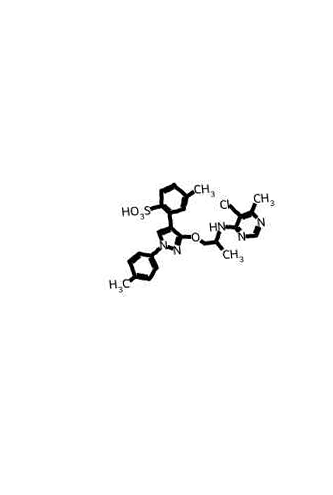 Cc1ccc(-n2cc(-c3cc(C)ccc3S(=O)(=O)O)c(OCC(C)Nc3ncnc(C)c3Cl)n2)cc1